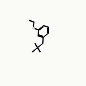 CCOc1cccc(CC(C)(C)C)c1